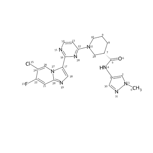 Cn1cc(NC(=O)[C@H]2CCCN(c3ccnc(-c4cnc5cc(F)c(Cl)cn45)n3)C2)cn1